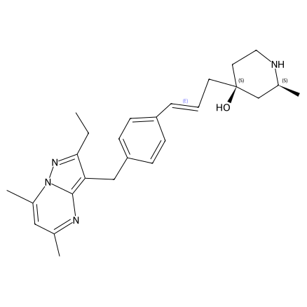 CCc1nn2c(C)cc(C)nc2c1Cc1ccc(/C=C/C[C@]2(O)CCN[C@@H](C)C2)cc1